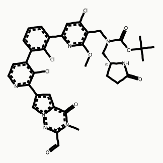 COc1nc(-c2cccc(-c3ccnc(-c4cc5c(=O)n(C)c(C=O)nn5c4)c3Cl)c2Cl)cc(Cl)c1CN(C[C@@H]1CCC(=O)N1)C(=O)OC(C)(C)C